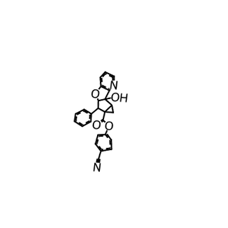 N#Cc1ccc(OC(=O)C23CC2C2(O)c4ncccc4OC2C3c2ccccc2)cc1